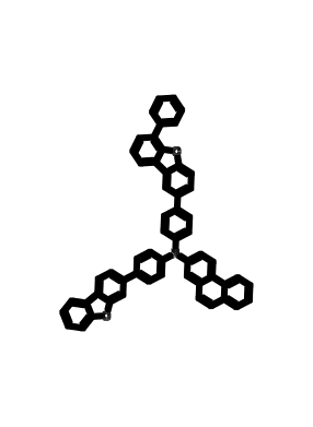 c1ccc(-c2cccc3c2oc2ccc(-c4ccc(N(c5ccc(-c6ccc7c(c6)oc6ccccc67)cc5)c5ccc6c(ccc7ccccc76)c5)cc4)cc23)cc1